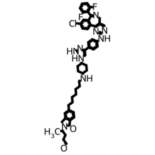 CC(CCC=O)N1Cc2cc(CCCCCCCNC3CCC(N/C=C(\N=N)c4ccc(Nc5ncc6c(n5)-c5ccc(Cl)cc5C(c5c(F)cccc5F)=NC6)cc4)CC3)ccc2C1=O